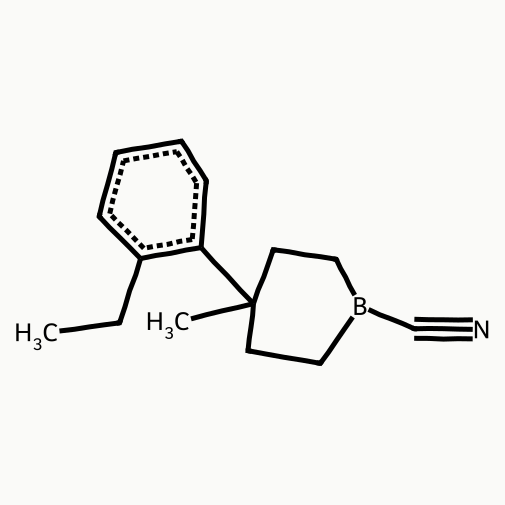 CCc1ccccc1C1(C)CCB(C#N)CC1